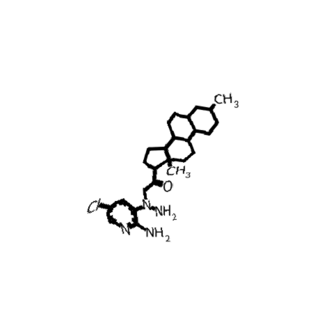 CC1CCC2C(CCC3C2CCC2(C)C(C(=O)CN(N)c4cc(Cl)cnc4N)CCC32)C1